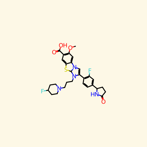 COc1cc2c(cc1C(=O)O)SC1N(CCCN3CCC(F)CC3)C(c3ccc(C4CCC(=O)N4)cc3F)=CN21